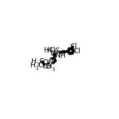 C[C@@H](C#Cc1ccc(Cl)c(Cl)c1)NC(=O)C1CCN(C(=O)OC(C)(C)C)C1.Cl